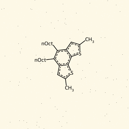 CCCCCCCCc1c(CCCCCCCC)c2cc(C)sc2c2sc(C)cc12